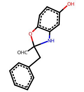 O=CC1(Cc2ccccc2)Nc2cc(O)ccc2O1